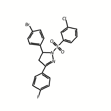 O=S(=O)(c1cccc(Cl)c1)N1N=C(c2ccc(F)cc2)CC1c1ccc(Br)cc1